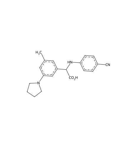 Cc1cc(C(Nc2ccc(C#N)cc2)C(=O)O)cc(N2CCCC2)c1